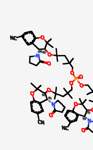 CC(C)(COP(=O)(OCC(C)(C)CC(C)(C)O[C@H]1[C@H](N2CCCC2=O)c2cc(C#N)ccc2OC1(C)C)OCC(C)(C)CC(C)(C)O[C@H]1[C@H](N2CCCC2=O)c2cc(C#N)ccc2OC1(C)C)CC(C)(C)O[C@H]1[C@H](N2CCCC2=O)c2cc(C#N)ccc2OC1(C)C